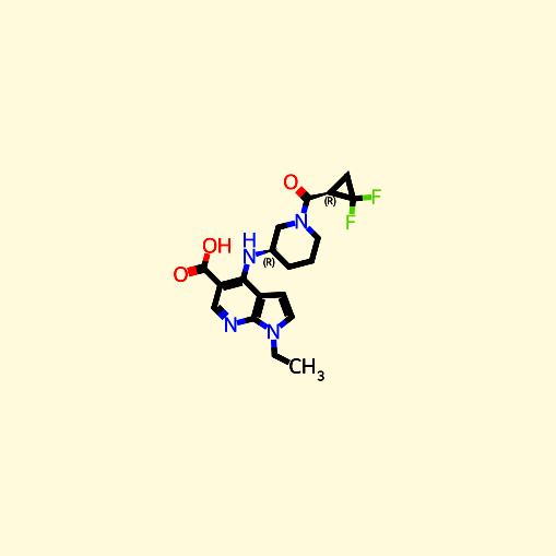 CCn1ccc2c(N[C@@H]3CCCN(C(=O)[C@H]4CC4(F)F)C3)c(C(=O)O)cnc21